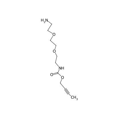 CC#CCOC(=O)NCCOCCOCCN